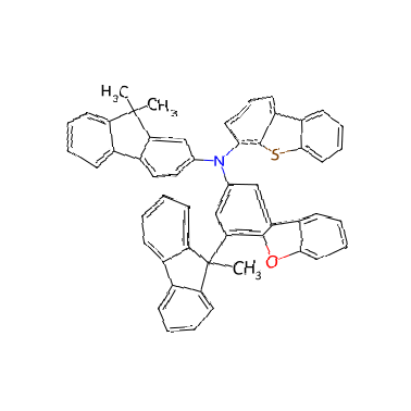 CC1(C)c2ccccc2-c2ccc(N(c3cc(C4(C)c5ccccc5-c5ccccc54)c4oc5ccccc5c4c3)c3cccc4c3sc3ccccc34)cc21